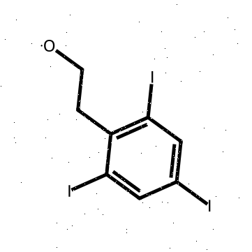 [O]CCc1c(I)cc(I)cc1I